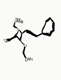 COCO[C@H]1C(=O)N(COC)[C@H]1/C=C/c1ccccc1